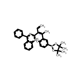 C=C/C(=C(\C)c1cc(B2OC(C)(C)C(C)(C)O2)ccc1C)c1nc(-c2ccccc2)c2ccccc2n1